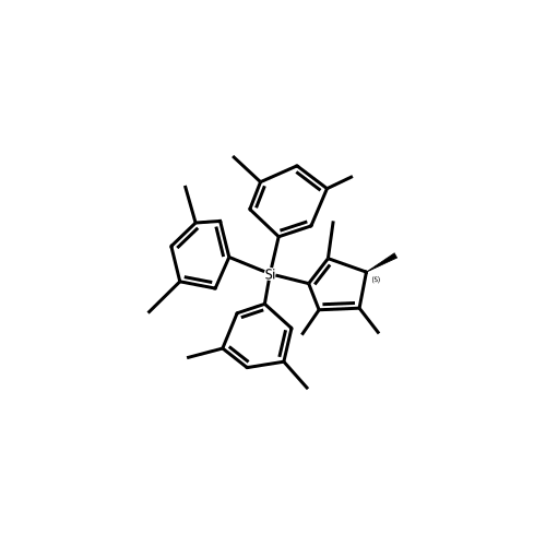 CC1=C(C)[C@H](C)C(C)=C1[Si](c1cc(C)cc(C)c1)(c1cc(C)cc(C)c1)c1cc(C)cc(C)c1